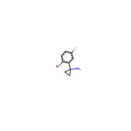 NC1(c2cc(F)ccc2Br)CC1